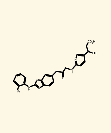 CC(C)c1ccccc1Nc1nc2ccc(CC(=O)CNc3ccc(C(C)CC(=O)O)cn3)cc2o1